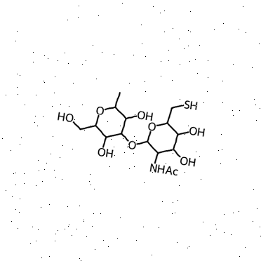 CC(=O)NC1C(OC2C(O)C(C)OC(CO)C2O)OC(CS)C(O)C1O